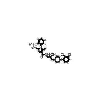 CCCc1nc(C(=O)NCC(O)CN2CCN(c3cccc(Cl)c3Cl)CC2)c(C)n1-c1ccccc1OC